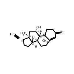 C#C[C@H]1CC[C@H]2[C@@H]3CCC4=CC(=O)CC[C@]4(C)[C@H]3[C@@H](O)C[C@]12C